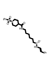 CC(C)/C=C/N[S+]([O-])CCCCCCNC(=O)C1CCN(S(=O)(=O)C(C)C)CC1